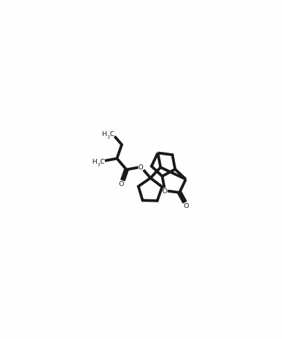 CCC(C)C(=O)OC1(C2C3CC4OC(=O)C2C4C3)CCCC1